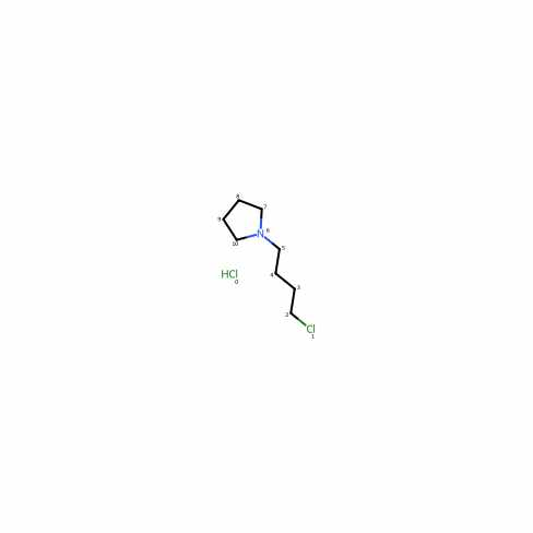 Cl.ClCCCCN1CCCC1